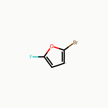 Fc1c[c]c(Br)o1